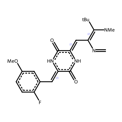 C=NC(/C=c1\[nH]c(=O)/c(=C/c2cc(OC)ccc2F)[nH]c1=O)=C(\NC)C(C)(C)C